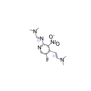 CN(C)/C=C/c1c(F)cnc(/N=C/N(C)C)c1[N+](=O)[O-]